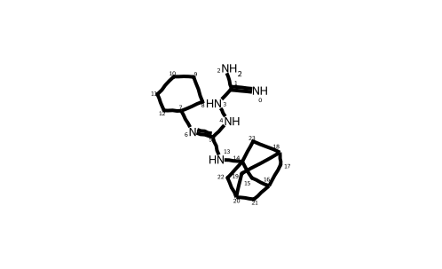 N=C(N)NNC(=NC1CCCCC1)NC12CC3CC(CC(C3)C1)C2